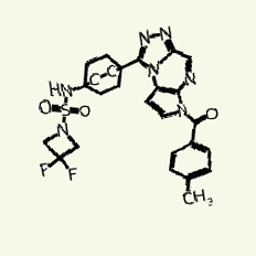 Cc1ccc(C(=O)n2ccc3c2ncc2nnc(C45CCC(NS(=O)(=O)N6CC(F)(F)C6)(CC4)CC5)n23)cc1